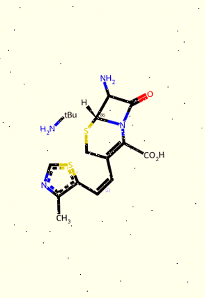 CC(C)(C)N.Cc1ncsc1/C=C\C1=C(C(=O)O)N2C(=O)C(N)[C@H]2SC1